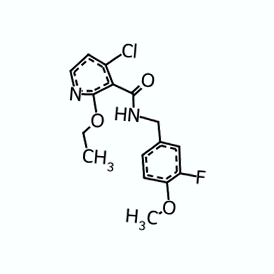 CCOc1nccc(Cl)c1C(=O)NCc1ccc(OC)c(F)c1